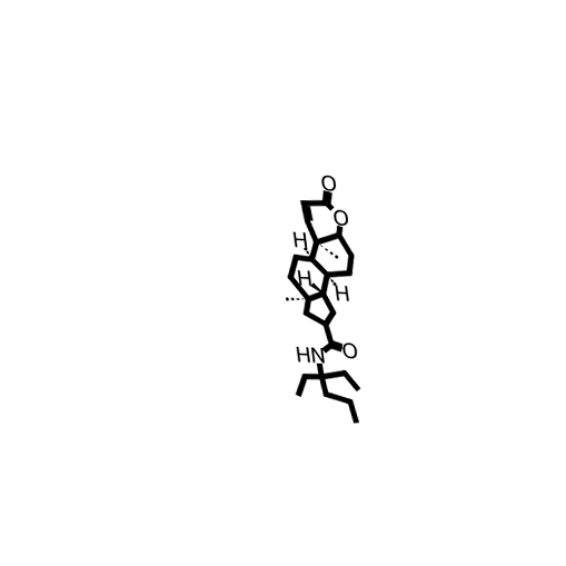 CCCC(CC)(CC)NC(=O)C1C[C@H]2[C@@H]3CCC4OC(=O)C=C[C@]4(C)[C@@H]3CC[C@]2(C)C1